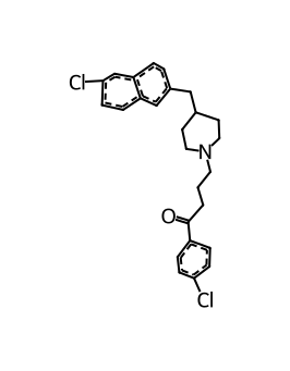 O=C(CCCN1CCC(Cc2ccc3cc(Cl)ccc3c2)CC1)c1ccc(Cl)cc1